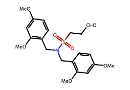 COc1ccc(CN(Cc2ccc(OC)cc2OC)S(=O)(=O)CCC=O)c(OC)c1